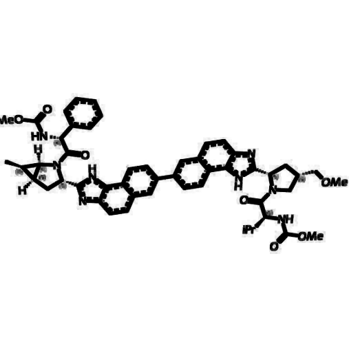 COC[C@H]1C[C@@H](c2nc3ccc4cc(-c5ccc6c(ccc7nc([C@@H]8C[C@H]9[C@@H](C)[C@H]9N8C(=O)[C@H](NC(=O)OC)c8ccccc8)[nH]c76)c5)ccc4c3[nH]2)N(C(=O)[C@@H](NC(=O)OC)C(C)C)C1